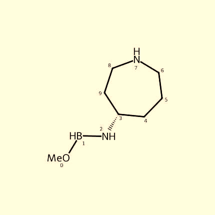 COBN[C@H]1CCCNCC1